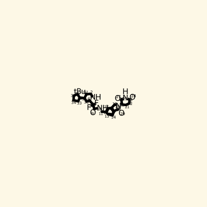 CC(C)(C)C1CNC(C(F)(F)C(=O)NCc2ccc3c(c2)CN(C2CCC(=O)NC2=O)C3=O)CC1C1CCCC1